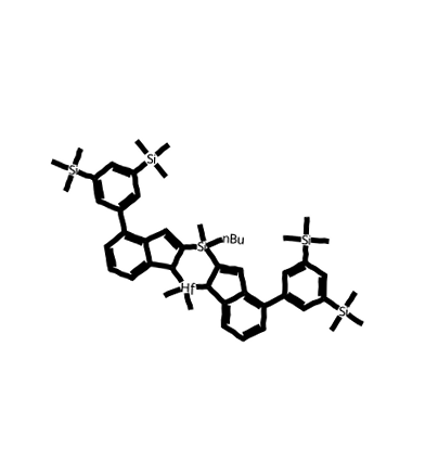 CCCC[Si]1(C)C2=Cc3c(-c4cc([Si](C)(C)C)cc([Si](C)(C)C)c4)cccc3[CH]2[Hf]([CH3])([CH3])[CH]2C1=Cc1c(-c3cc([Si](C)(C)C)cc([Si](C)(C)C)c3)cccc12